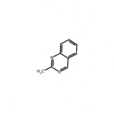 Cc1ncc2ccccc2n1